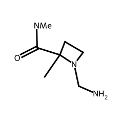 CNC(=O)C1(C)CCN1CN